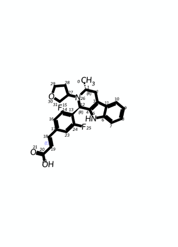 C[C@@H]1Cc2c([nH]c3ccccc23)[C@@H](c2c(F)cc(/C=C/C(=O)O)cc2F)N1C1CCOC1